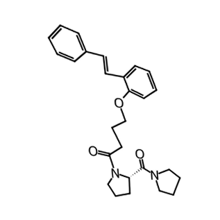 O=C([C@@H]1CCCN1C(=O)CCCOc1ccccc1/C=C/c1ccccc1)N1CCCC1